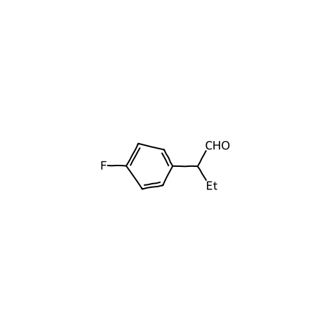 CCC(C=O)c1ccc(F)cc1